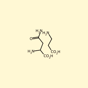 NC(=O)CC(N)C(=O)O.NCCC(=O)O